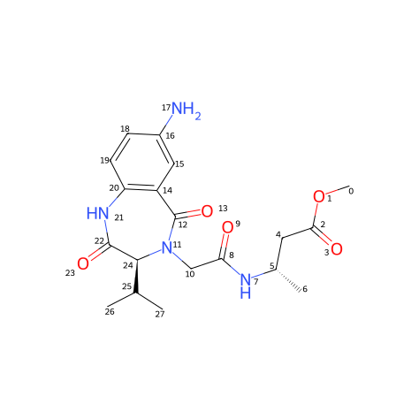 COC(=O)C[C@H](C)NC(=O)CN1C(=O)c2cc(N)ccc2NC(=O)[C@@H]1C(C)C